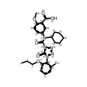 CCCOc1cccc(F)c1-n1nnn(C(=O)N(c2ccc(OC)c(C(=O)O)c2)C2CCCCC2)c1=O